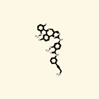 COc1cc(Nc2ncc3c(n2)-c2ccc(Cl)cc2C(c2c(F)cccc2OC)=NC3)ccc1C(=O)Nc1cccc(C#CCN)c1